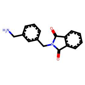 NCc1cccc(CN2C(=O)c3ccccc3C2=O)c1